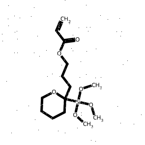 C=CC(=O)OCCCC1([Si](OC)(OC)OC)CCCCO1